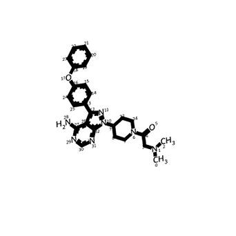 CN(C)CC(=O)N1CCC(n2nc(-c3ccc(Oc4ccccc4)cc3)c3c(N)ncnc32)CC1